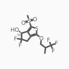 CC(COc1sc(S(C)(=O)=O)c2c1CC(F)(F)[C@H]2O)C(F)(F)F